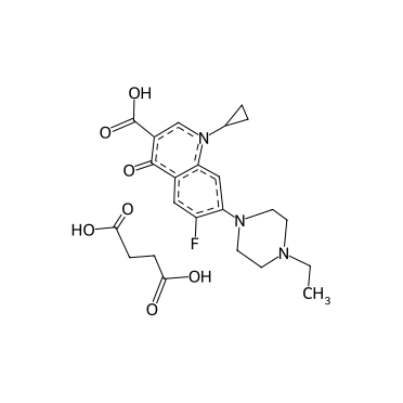 CCN1CCN(c2cc3c(cc2F)c(=O)c(C(=O)O)cn3C2CC2)CC1.O=C(O)CCC(=O)O